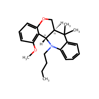 CCCCN1c2ccccc2C(C)(C)[C@@H]2COc3cccc(OC)c3[C@H]21